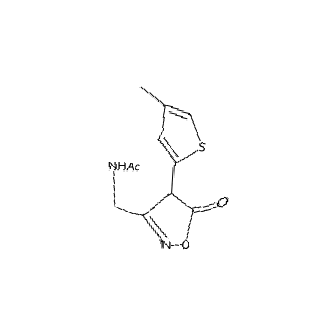 CC(=O)NCC1=NOC(=O)C1c1cc(C)cs1